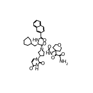 NC(=O)C(=O)C1(NC(=O)[C@@H]2C[C@@H](n3ccc(=O)[nH]c3=O)CN2C(=O)[C@@H](CC2CCCCC2)NC(=O)c2ccc3ccccc3c2)CCOCC1